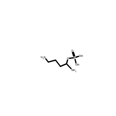 NCCCC(N)OP(=O)(O)O